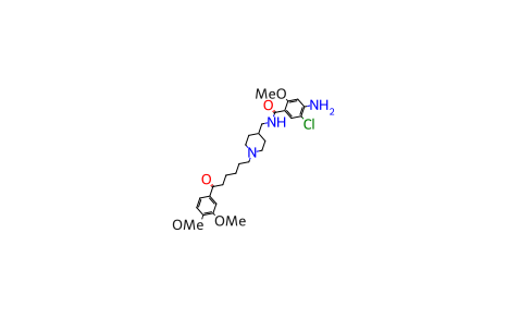 COc1ccc(C(=O)CCCCCN2CCC(CNC(=O)c3cc(Cl)c(N)cc3OC)CC2)cc1OC